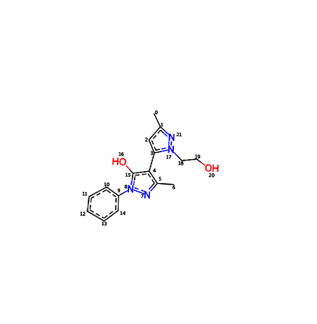 Cc1cc(-c2c(C)nn(-c3ccccc3)c2O)n(CCO)n1